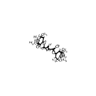 CC1(C)CC(OC(=O)C2CC(C(=O)OC3CC(C)(C)NC(C)(C)C3)C2)CC(C)(C)N1